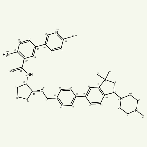 CN1CCN(C2CC(C)(C)c3cc(-c4ccc(CO[C@H]5CCC[C@@H]5NC(=O)c5cc(-c6ccc(F)nc6)cnc5N)cc4)ccc32)CC1